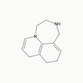 C1=CN2CCNCC3=CCCC(=C32)C1